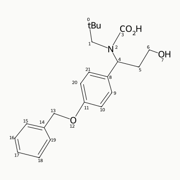 CC(C)(C)CN(C(=O)O)C(CCO)c1ccc(OCc2ccccc2)cc1